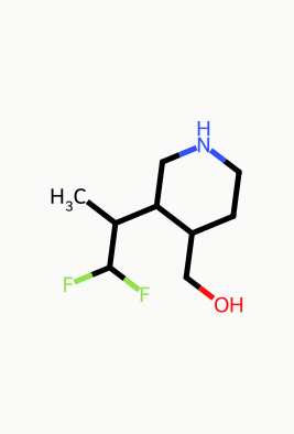 CC(C(F)F)C1CNCCC1CO